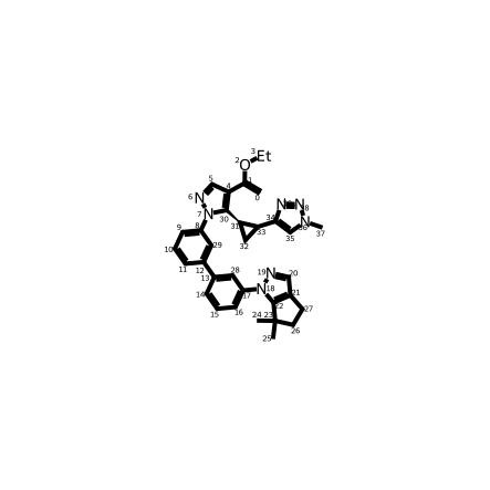 C=C(OCC)c1cnn(-c2cccc(-c3cccc(-n4ncc5c4C(C)(C)CC5)c3)c2)c1[C@@H]1CC1c1cn(C)nn1